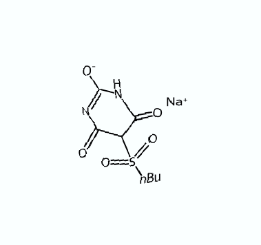 CCCCS(=O)(=O)C1C(=O)N=C([O-])NC1=O.[Na+]